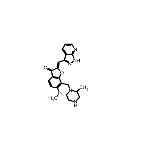 COc1ccc2c(c1CN1CCNCC1C)OC(=Cc1n[nH]c3ncccc13)C2=O